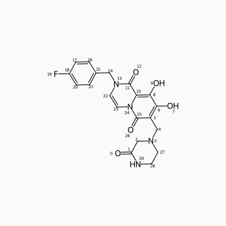 O=C1CN(Cc2c(O)c(O)c3c(=O)n(Cc4ccc(F)cc4)ccn3c2=O)CCN1